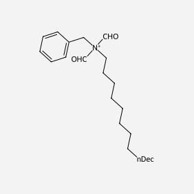 CCCCCCCCCCCCCCCCCC[N+](C=O)(C=O)Cc1ccccc1